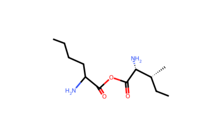 CCCCC(N)C(=O)OC(=O)[C@H](N)[C@H](C)CC